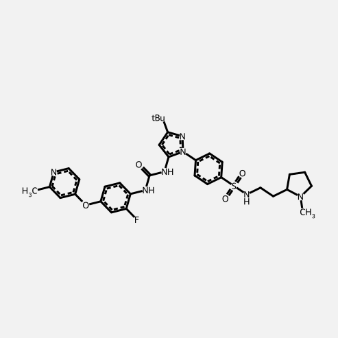 Cc1cc(Oc2ccc(NC(=O)Nc3cc(C(C)(C)C)nn3-c3ccc(S(=O)(=O)NCCC4CCCN4C)cc3)c(F)c2)ccn1